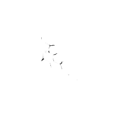 COC(=O)CC(=O)CC(=O)OC.O=C(O)CCl